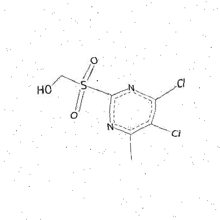 Cc1nc(S(=O)(=O)CO)nc(Cl)c1Cl